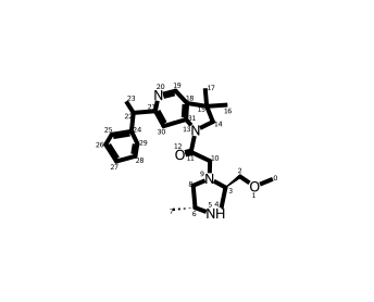 COC[C@H]1CN[C@H](C)CN1CC(=O)N1CC(C)(C)c2cnc(C(C)c3ccccc3)cc21